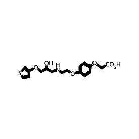 O=C(O)COc1ccc(OCCNCC(O)COc2ccsc2)cc1